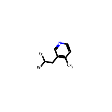 CCC(CC)Cc1cnccc1C(F)(F)F